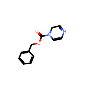 O=C(OCc1ccccc1)N1C=CN=CC1